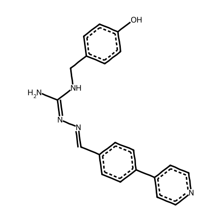 NC(=NN=Cc1ccc(-c2ccncc2)cc1)NCc1ccc(O)cc1